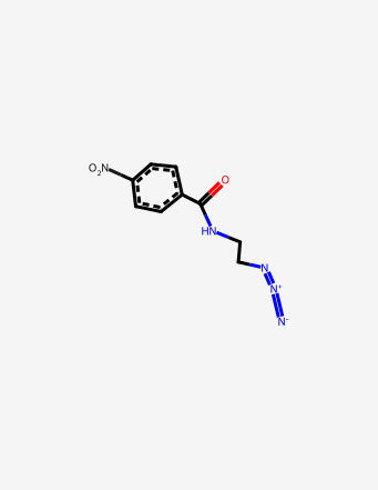 [N-]=[N+]=NCCNC(=O)c1ccc([N+](=O)[O-])cc1